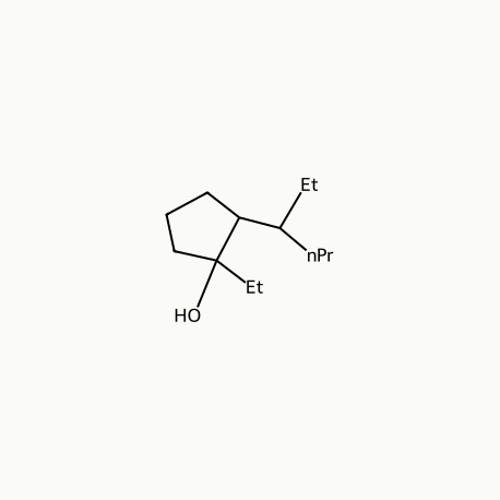 CCCC(CC)C1CCCC1(O)CC